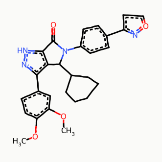 COc1ccc(-c2n[nH]c3c2C(C2CCCCC2)N(c2ccc(-c4ccon4)cc2)C3=O)cc1OC